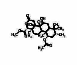 COC(=O)[C@@H]1OC(=O)CC2(O)[C@@]1(C)CCC1[C@]3(C)C(C[C@H](O)[C@]12C)C(C)(C)[C@H](C)C[C@@H]3OC(C)=O